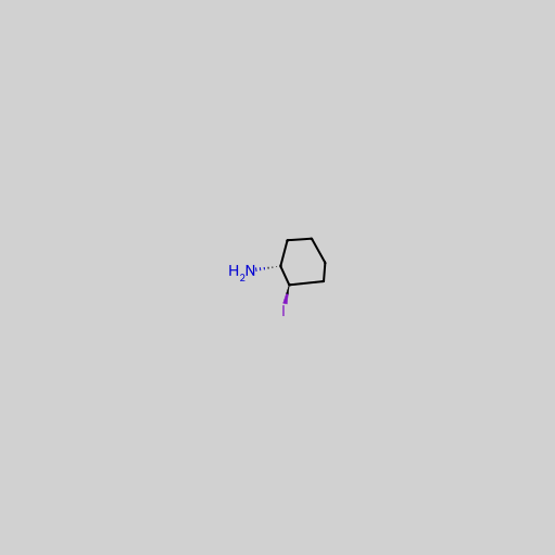 N[C@@H]1CCCC[C@H]1I